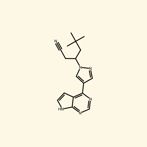 CC(C)(C)CC(CC#N)n1cc(-c2ncnc3[nH]ccc23)cn1